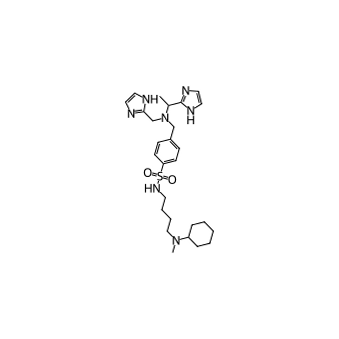 CC(c1ncc[nH]1)N(Cc1ccc(S(=O)(=O)NCCCCN(C)C2CCCCC2)cc1)Cc1ncc[nH]1